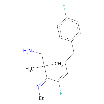 CC/N=C(\C(F)=C/CCc1ccc(F)cc1)C(C)(C)CN